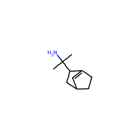 CC(C)(N)C1CC2C=C1CC2